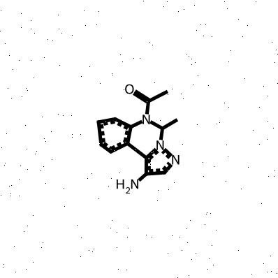 CC(=O)N1c2ccccc2-c2c(N)cnn2C1C